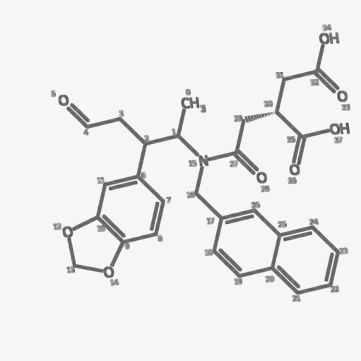 CC(C(CC=O)c1ccc2c(c1)OCO2)N(Cc1ccc2ccccc2c1)C(=O)C[C@H](CC(=O)O)C(=O)O